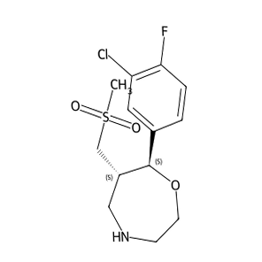 CS(=O)(=O)C[C@H]1CNCCO[C@@H]1c1ccc(F)c(Cl)c1